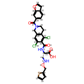 O=C(N[C@@H](CNOCc1cccs1)C(=O)O)c1c(Cl)cc2c(c1Cl)CCN(C(=O)c1ccc3ccoc3c1)C2